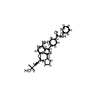 CC(C)(O)C#CC(=O)N1CCCC1c1nc(-c2ccc(C(=O)Nc3ccccn3)cc2)c2c(N)nccn12